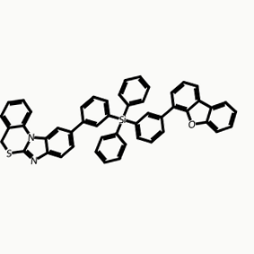 c1ccc([Si](c2ccccc2)(c2cccc(-c3ccc4nc5n(c4c3)-c3ccccc3CS5)c2)c2cccc(-c3cccc4c3oc3ccccc34)c2)cc1